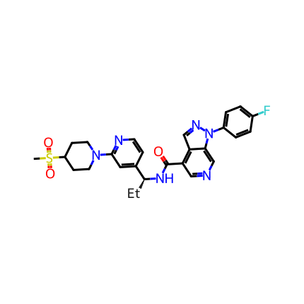 CC[C@H](NC(=O)c1cncc2c1cnn2-c1ccc(F)cc1)c1ccnc(N2CCC(S(C)(=O)=O)CC2)c1